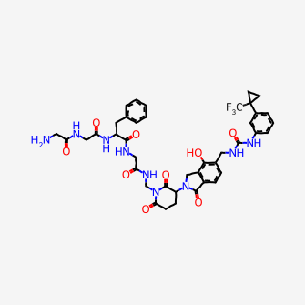 NCC(=O)NCC(=O)N[C@@H](Cc1ccccc1)C(=O)NCC(=O)NCN1C(=O)CCC(N2Cc3c(ccc(CNC(=O)Nc4cccc(C5(C(F)(F)F)CC5)c4)c3O)C2=O)C1=O